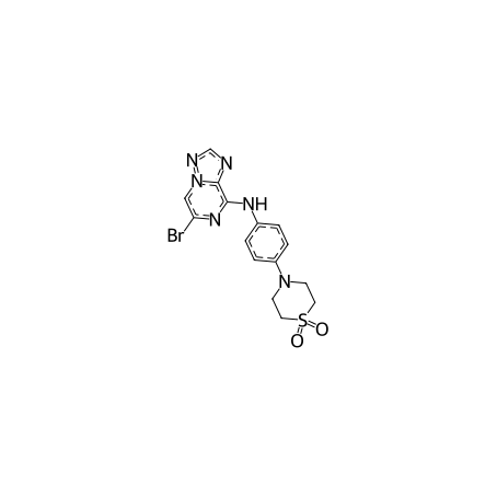 O=S1(=O)CCN(c2ccc(Nc3nc(Br)cn4ncnc34)cc2)CC1